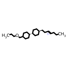 CCC/C=C/CC[C@H]1CC[C@H](C2CCC(COCCC)CC2)CC1